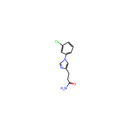 NC(=O)CCc1cn(-c2cccc(Cl)c2)cn1